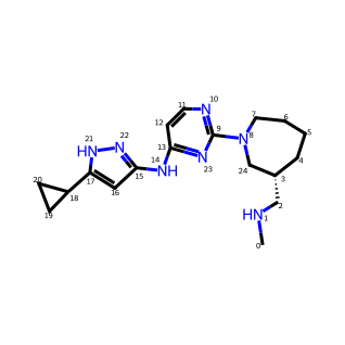 CNC[C@H]1CCCCN(c2nccc(Nc3cc(C4CC4)[nH]n3)n2)C1